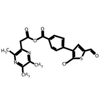 Cc1nc(C)c(CC(=O)OC(=O)c2ccc(-c3cc(C=O)sc3Cl)cc2)nc1C